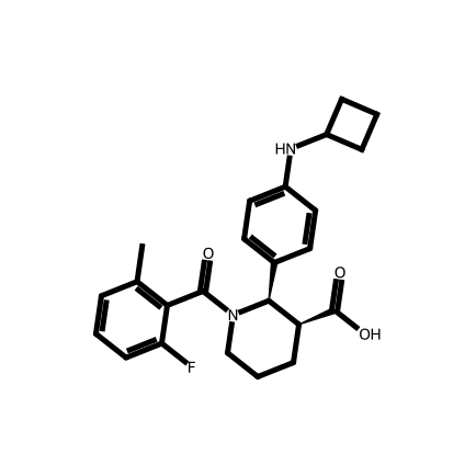 Cc1cccc(F)c1C(=O)N1CCC[C@H](C(=O)O)[C@@H]1c1ccc(NC2CCC2)cc1